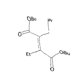 CCC(C(=O)OCC(C)C)=C(CC(C)C)C(=O)OCC(C)C